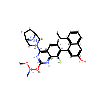 CCc1cccc2cc(O)cc(-c3c(C)cc4c(N5CC6CCC(C5)N6)nc(ON(C)OC)nc4c3F)c12